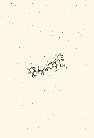 CCn1c(CN)[n+](CC2CCOCC2)c2ccc(OCC(=O)NCc3nc(C)ccc3O)cc21